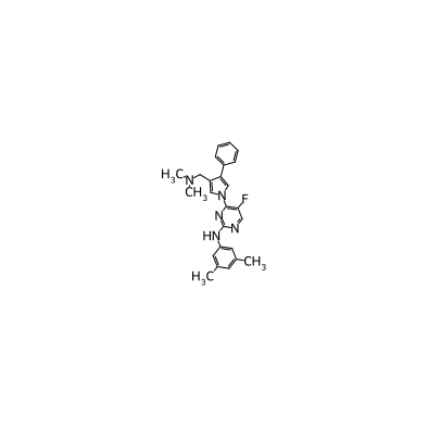 Cc1cc(C)cc(Nc2ncc(F)c(-n3cc(CN(C)C)c(-c4ccccc4)c3)n2)c1